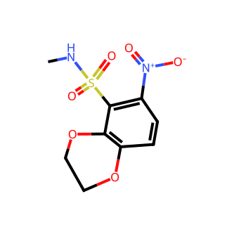 CNS(=O)(=O)c1c([N+](=O)[O-])ccc2c1OCCO2